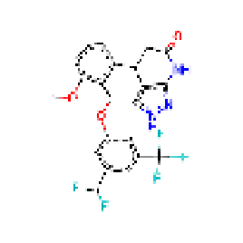 COc1cccc(C2CC(=O)Nc3n[nH]cc32)c1COc1cc(C(F)F)cc(C(F)(F)F)c1